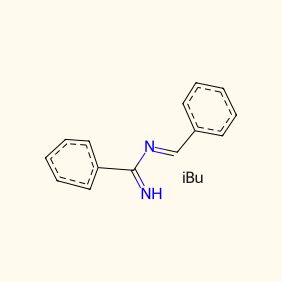 CC[C@H](C)/C(=N\C(=N)c1ccccc1)c1ccccc1